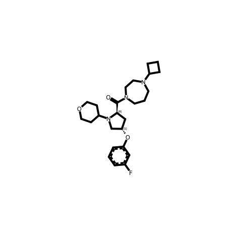 O=C([C@H]1C[C@H](Oc2cccc(F)c2)CN1C1CCOCC1)N1CCCN(C2CCC2)CC1